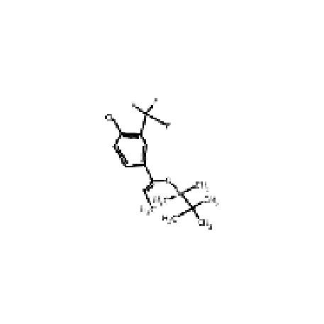 CC=C(O[Si](C)(C)C(C)(C)C)c1ccc(Cl)c(C(F)(F)F)c1